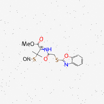 COC(=O)[C@@H](NC(=O)CSc1nc2ccccc2o1)C(C)(C)SN=O